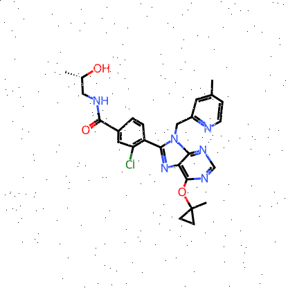 Cc1ccnc(Cn2c(-c3ccc(C(=O)NC[C@H](C)O)cc3Cl)nc3c(OC4(C)CC4)ncnc32)c1